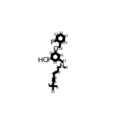 CN(CC=CC#CC(C)(C)C)Cc1cccc(OCc2ccccc2F)c1.Cl